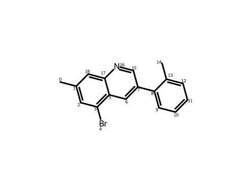 Cc1cc(Br)c2cc(-c3ccccc3C)cnc2c1